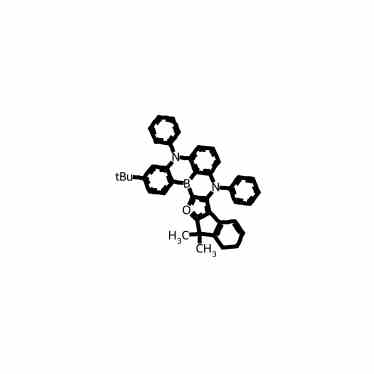 CC(C)(C)c1ccc2c(c1)N(c1ccccc1)c1cccc3c1B2c1oc2c(c1N3c1ccccc1)C1=C(CCC=C1)C2(C)C